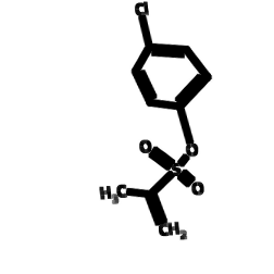 C=C(C)S(=O)(=O)Oc1ccc(Cl)cc1